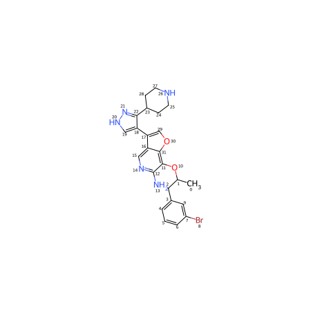 CC(Cc1cccc(Br)c1)Oc1c(N)ncc2c(-c3c[nH]nc3C3CCNCC3)coc12